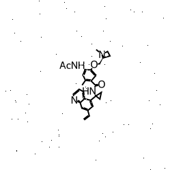 C=Cc1cc(C2(NC(=O)c3cc(OC[C@@H]4CCN4C)c(NC(C)=O)cc3C)CC2)c2cccnc2c1